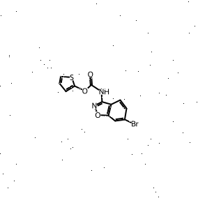 O=C(Nc1noc2cc(Br)ccc12)Oc1cccs1